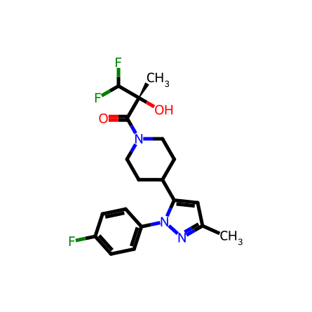 Cc1cc(C2CCN(C(=O)[C@@](C)(O)C(F)F)CC2)n(-c2ccc(F)cc2)n1